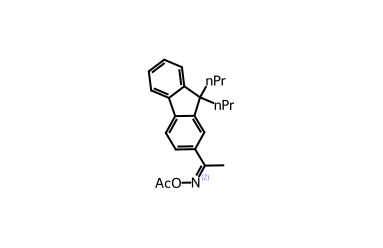 CCCC1(CCC)c2ccccc2-c2ccc(/C(C)=N\OC(C)=O)cc21